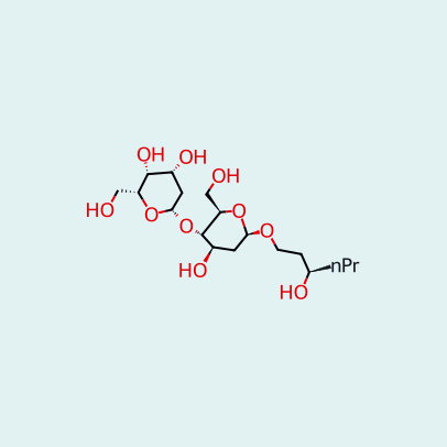 CCC[C@@H](O)CCO[C@H]1C[C@@H](O)[C@H](O[C@H]2C[C@@H](O)[C@@H](O)[C@@H](CO)O2)[C@@H](CO)O1